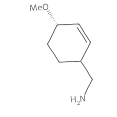 CO[C@@H]1C=CC(CN)CC1